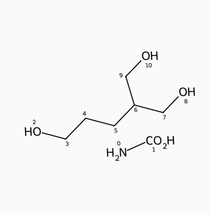 NC(=O)O.OCCCC(CO)CO